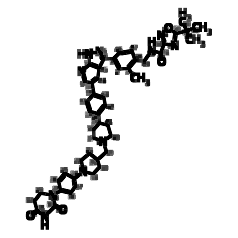 Cc1cc(-c2n[nH]c3ncc(-c4ccc(C5CCN(CC6CCN(c7ccc(N8CCC(=O)NC8=O)cc7)CC6)CC5)cc4)cc23)ccc1CNC(=O)c1noc(C(C)(C)C)n1